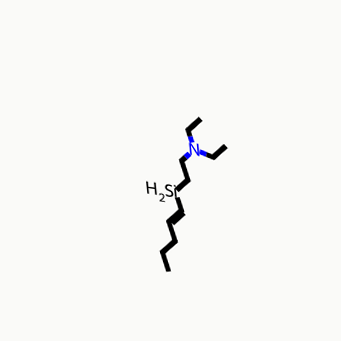 CCCC=C[SiH2]CCN(CC)CC